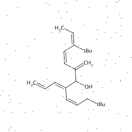 C=C/C=C(\C=C/CC(C)(C)C)C(O)C(=C)/C=C\C(=C/C)C(C)(C)C